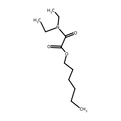 CCCCCCOC(=O)C(=O)N(CC)CC